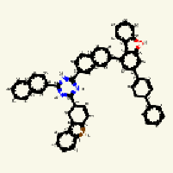 C1=CC(c2ccccc2)CC=C1c1cc(-c2ccc3ccc(-c4nc(-c5ccc6ccccc6c5)nc(C5C=Cc6sc7ccccc7c6C5)n4)cc3c2)c2c(c1)oc1ccccc12